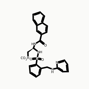 O=C(O)C[C@@H](NC(=O)c1ccc2ccccc2c1)NS(=O)(=O)c1ccccc1CNc1ccccn1